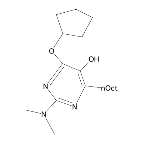 CCCCCCCCc1nc(N(C)C)nc(OC2CCCC2)c1O